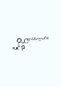 OCCOCCOCCN1CCC(=C2c3ccccc3CC(=NO)c3sccc32)CC1